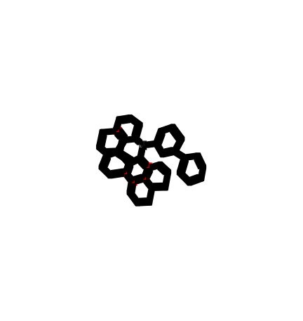 c1ccc(-c2cccc(N(c3ccccc3-c3ccccc3)c3ccccc3-c3cccc(-c4cccc5ccccc45)c3)c2)cc1